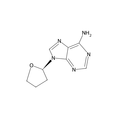 Nc1ncnc2c1ncn2[C@H]1CCCO1